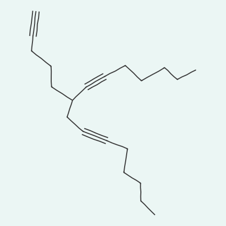 C#CCCCC(C#CCCCCC)CC#CCCCCC